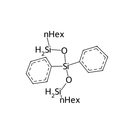 CCCCCC[SiH2]O[Si](O[SiH2]CCCCCC)(c1ccccc1)c1ccccc1